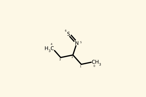 CCC(CC)N=S